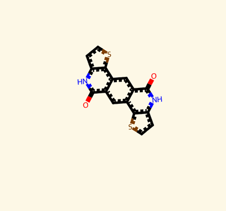 O=c1[nH]c2ccsc2c2cc3c(=O)[nH]c4ccsc4c3cc12